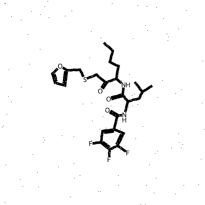 CCCCC(NC(=O)C(CC(C)C)NC(=O)c1cc(F)c(F)c(F)c1)C(=O)CSCc1ccco1